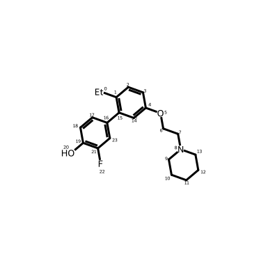 CCc1ccc(OCCN2CCCCC2)[c]c1-c1ccc(O)c(F)c1